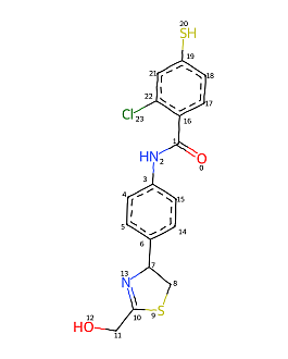 O=C(Nc1ccc(C2CSC(CO)=N2)cc1)c1ccc(S)cc1Cl